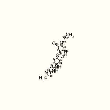 [C-]#[N+]c1cc2c(Oc3ccc(NC(=O)Nc4cc(C)no4)cc3)ccnc2cc1OCCOC